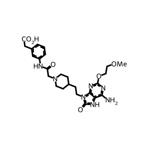 COCCOc1nc(N)c2[nH]c(=O)n(CCC3CCN(CC(=O)Nc4cccc(CC(=O)O)c4)CC3)c2n1